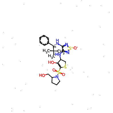 CC(C)(C)[C@@H](Nc1n[s+]([O-])nc1NC1CSC(S(=O)(=O)N2CCCC2CO)=C1O)c1ccccc1